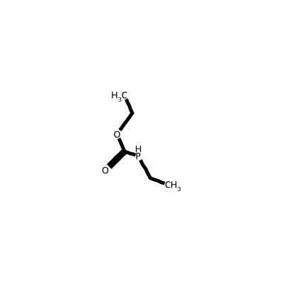 CCOC(=O)PCC